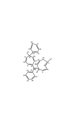 C/C1=C\C=C/C(C)(N(C2=CC=CC(C)(c3ccccc3)C=C2)c2ccccc2)/C=C\C1